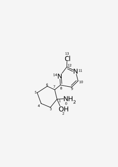 NC1(O)CCCCC1c1ccnc(Cl)n1